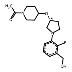 CC(=O)N1CCC(O[C@@H]2CCN(c3cccc(CO)c3F)C2)CC1